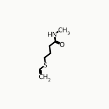 C=CSCCCC(=O)NC